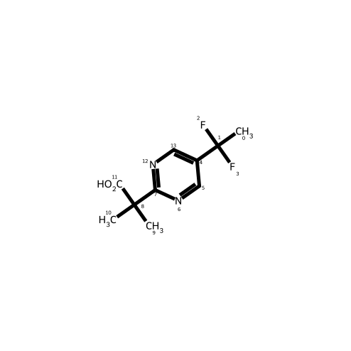 CC(F)(F)c1cnc(C(C)(C)C(=O)O)nc1